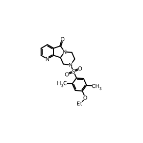 CCOc1cc(C)c(S(=O)(=O)N2CCN3C(=O)c4cccnc4C3C2)cc1C